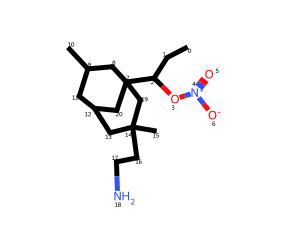 CCC(O[N+](=O)[O-])C12CC(C)CC(CC(C)(CCN)C1)C2